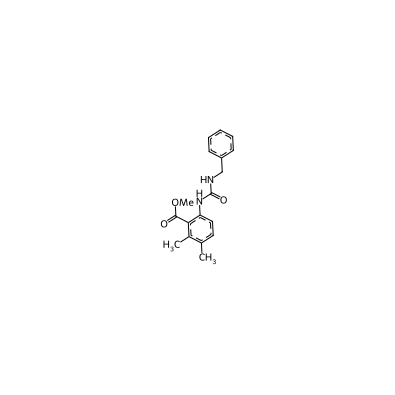 COC(=O)c1c(NC(=O)NCc2ccccc2)ccc(C)c1C